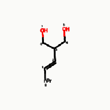 CCC/C=C/C(CO)CO